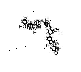 CC1CN(c2ccc3c(c2)C(=O)N(C2CCC(=O)NC2=O)C3=O)CCC1CN1C=C2[C@@H](C1)[C@@H]2CN1CCN2c3cc(-c4ccccc4O)nnc3NC[C@H]2C1